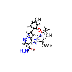 CO[C@@H]1CN(C(=O)C2(C#N)CC2)C[C@H]1Nc1c(C(N)=O)cnn2cc(-c3ccc(C#N)cc3)cc12